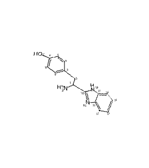 NC(Cc1ccc(O)cc1)c1nc2ccccc2[nH]1